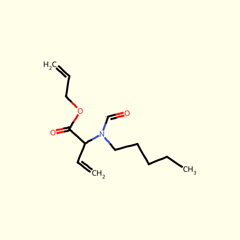 C=CCOC(=O)C(C=C)N([C]=O)CCCCC